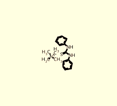 C[N+](C)(C)C.S=C(Nc1ccccc1)Nc1ccccc1